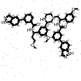 COCCC(NC(=O)c1cccc(-c2ccc3[nH]ncc3c2)c1)c1cc(OC)cc(C2CN(CC(NC(=O)c3cccc(-c4ccc5[nH]ncc5c4)c3)c3cccc(OC)c3)CCN2)c1